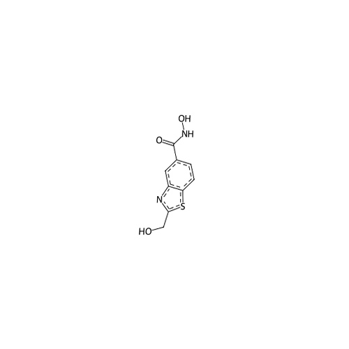 O=C(NO)c1ccc2sc(CO)nc2c1